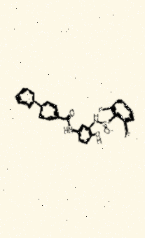 O=C(Nc1ccc(O)c(N[S+]([O-])c2c(F)cccc2F)c1)c1ccc(-c2ccccc2)cc1